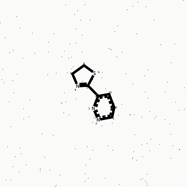 c1cnnc(C2=NCCS2)c1